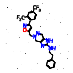 FC(F)(F)c1ccc(-c2cc(CN3Cc4nc(NCCc5ccccc5)[nH]c4C=N3)on2)c(C(F)(F)F)c1